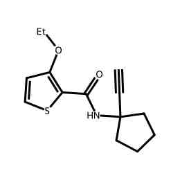 C#CC1(NC(=O)c2sccc2OCC)CCCC1